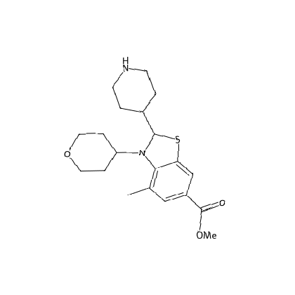 COC(=O)c1cc(C)c2c(c1)SC(C1CCNCC1)N2C1CCOCC1